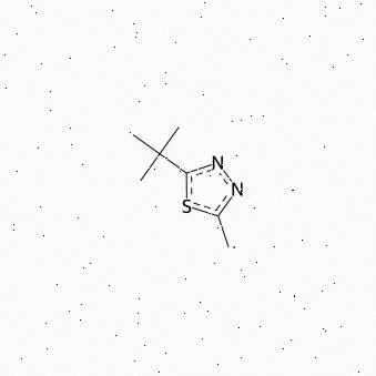 [CH2]c1nnc(C(C)(C)C)s1